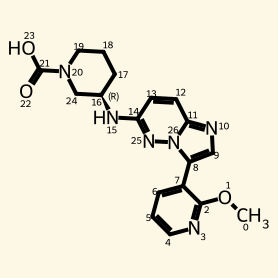 COc1ncccc1-c1cnc2ccc(N[C@@H]3CCCN(C(=O)O)C3)nn12